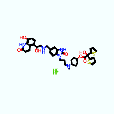 CN(CCCn1c(=O)[nH]c2cc(CNC[C@H](O)c3ccc(O)c4[nH]c(=O)ccc34)ccc21)[C@H]1CC[C@H](OC(=O)C(O)(c2cccs2)c2cccs2)CC1.F.F